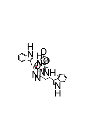 COc1ccc(Cn2c(CCc3c[nH]c4ccccc34)nnc2[C@H](Cc2c[nH]c3ccccc23)NC(=O)C(C)(C)N)c(OC)c1